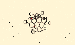 Oc1ccc(Cl)cc1C(c1cc(Cl)ccc1O)C(c1c(O)c(Cl)cc(Cl)c1Cl)c1c(O)c(Cl)cc(Cl)c1Cl